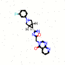 O=c1c2cccnc2ncn1Cc1nc([C@@H]2[C@@H]3CN(c4cccc(F)c4)C[C@@H]32)no1